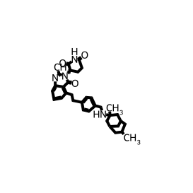 Cc1nc2cccc(CCc3ccc(CNC4(C)CC5CC(C)CC(C5)C4)cc3)c2c(=O)n1C1CCC(=O)NC1=O